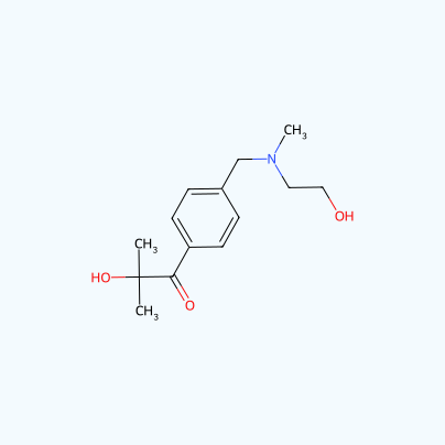 CN(CCO)Cc1ccc(C(=O)C(C)(C)O)cc1